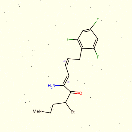 CCC(CCNC)C(=O)/C(N)=C/C=C\Cc1c(F)cc(F)cc1F